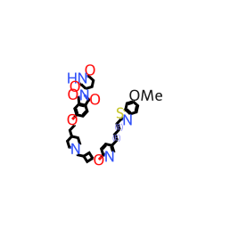 COc1ccc2nc(/C=C/C=C/c3ccc(OC4CC(CN5CCC(CCOc6ccc7c(c6)C(=O)N(C6CCC(=O)NC6=O)C7=O)CC5)C4)nc3)sc2c1